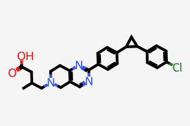 CC(CC(=O)O)CN1CCc2nc(-c3ccc(C4CC4c4ccc(Cl)cc4)cc3)ncc2C1